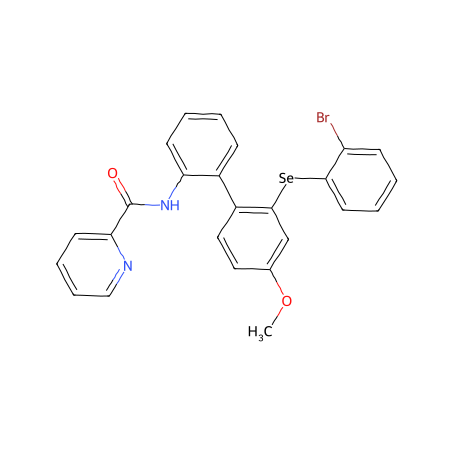 COc1ccc(-c2ccccc2NC(=O)c2ccccn2)c([Se]c2ccccc2Br)c1